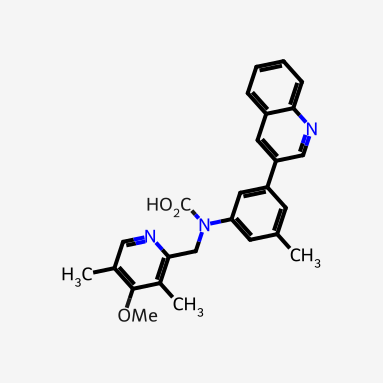 COc1c(C)cnc(CN(C(=O)O)c2cc(C)cc(-c3cnc4ccccc4c3)c2)c1C